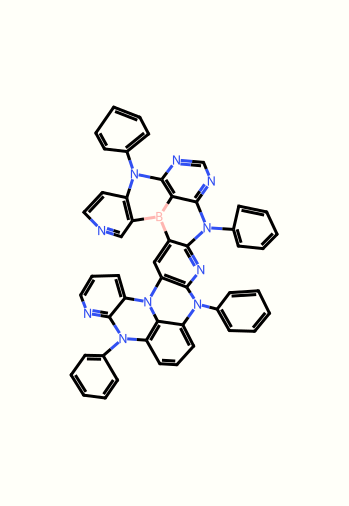 c1ccc(N2c3cccc4c3N(c3cccnc32)c2cc3c(nc2N4c2ccccc2)N(c2ccccc2)c2ncnc4c2B3c2cnccc2N4c2ccccc2)cc1